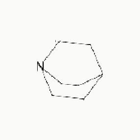 [CH]1CC2CCN1CC2